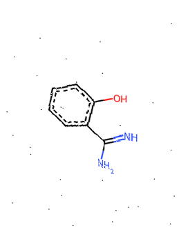 N=C(N)c1ccc[c]c1O